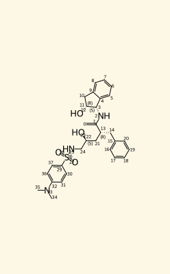 C=C(N[C@H]1c2ccccc2C[C@H]1O)[C@H](Cc1ccccc1)C[C@H](O)CNS(=O)(=O)c1ccc(N(C)C)cc1